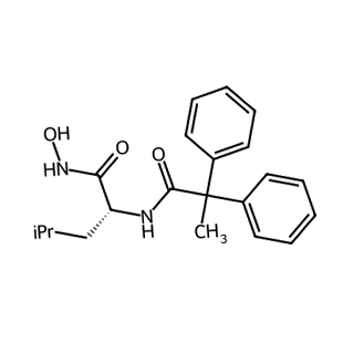 CC(C)C[C@@H](NC(=O)C(C)(c1ccccc1)c1ccccc1)C(=O)NO